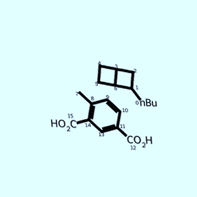 CCCCC1CC2CCC12.Cc1ccc(C(=O)O)cc1C(=O)O